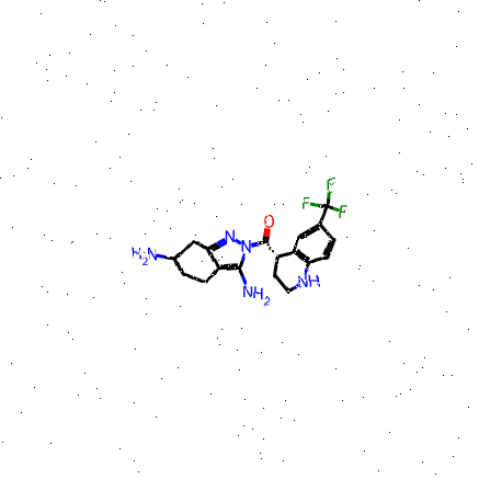 Nc1c2c(nn1C(=O)[C@H]1CCNc3ccc(C(F)(F)F)cc31)CC(N)CC2